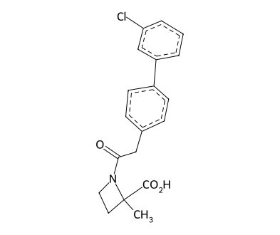 CC1(C(=O)O)CCN1C(=O)Cc1ccc(-c2cccc(Cl)c2)cc1